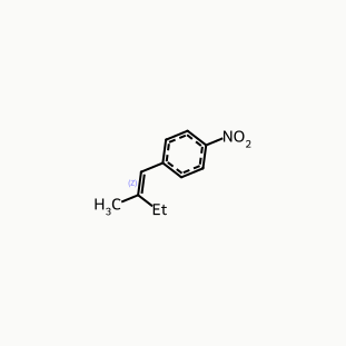 CC/C(C)=C\c1ccc([N+](=O)[O-])cc1